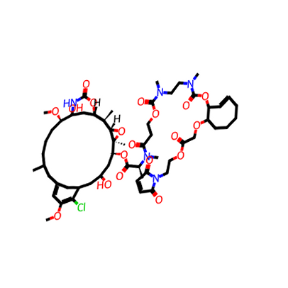 COC1=C(Cl)C2CC(=C1)CC(C)CCC[C@@H](OC)[C@@]1(O)C[C@H](OC(=O)N1)[C@@H](C)[C@@H]1O[C@@]1(C)[C@@H](OC(=O)[C@H](C)N(C)C(=O)CCOC(=O)N(C)CCN(C)C(=O)OC1/C=C/CCCCC1OCC(=O)OCCN1C(=O)C=CC1=O)CC(O)C2